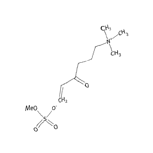 C=CC(=O)CCC[N+](C)(C)C.COS(=O)(=O)[O-]